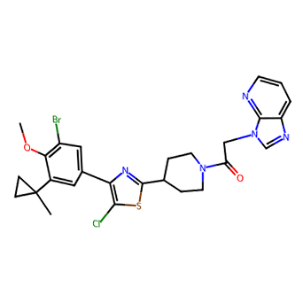 COc1c(Br)cc(-c2nc(C3CCN(C(=O)Cn4cnc5cccnc54)CC3)sc2Cl)cc1C1(C)CC1